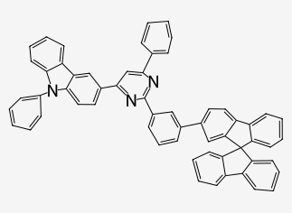 c1ccc(-c2cc(-c3ccc4c(c3)c3ccccc3n4-c3ccccc3)nc(-c3cccc(-c4ccc5c(c4)C4(c6ccccc6-c6ccccc64)c4ccccc4-5)c3)n2)cc1